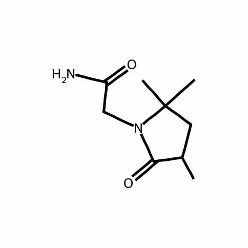 CC1CC(C)(C)N(CC(N)=O)C1=O